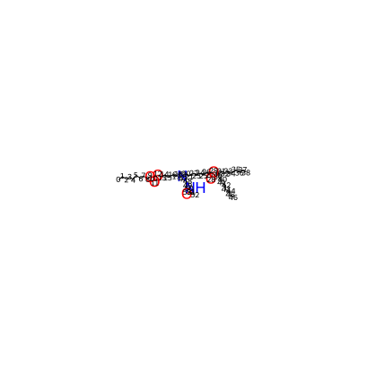 CCCCCCCCCOC(=O)OCCCCCCN(CCCCCCCC(=O)OC(CCCCCCCC)CCCCCCCC)CCCNC(C)=O